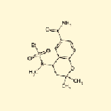 CCS(=O)(=O)N(C)C1CC(C)(C)Oc2ccc(C(N)=O)cc21